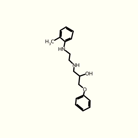 Cc1ccccc1NCCNCC(O)COc1ccccc1